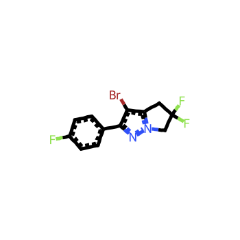 Fc1ccc(-c2nn3c(c2Br)CC(F)(F)C3)cc1